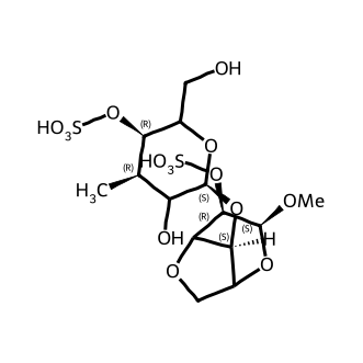 CO[C@H]1OC2COC([C@H]2O[C@@H]2OC(CO)[C@H](OS(=O)(=O)O)[C@H](C)C2O)[C@H]1OS(=O)(=O)O